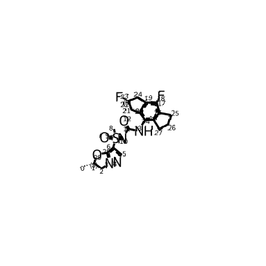 C[C@H]1Cn2ncc(S(C)(=O)=NC(=O)Nc3c4c(c(F)c5c3C[C@@H](F)C5)CCC4)c2O1